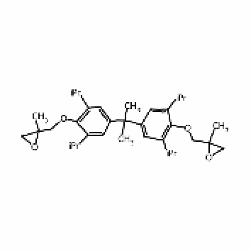 CC(C)c1cc(C(C)(C)c2cc(C(C)C)c(OCC3(C)CO3)c(C(C)C)c2)cc(C(C)C)c1OCC1(C)CO1